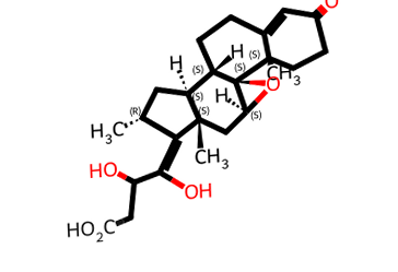 C[C@@H]1C[C@H]2[C@@H]3CCC4=CC(=O)CC[C@]4(C)[C@@]34O[C@H]4C[C@]2(C)C1=C(O)C(O)CC(=O)O